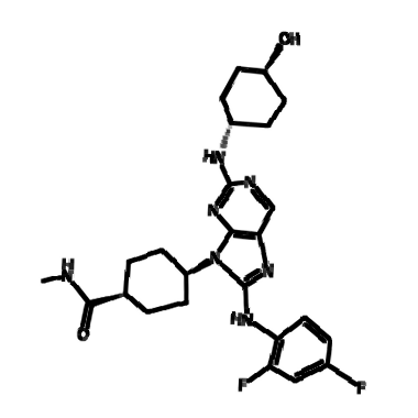 CNC(=O)[C@H]1CC[C@@H](n2c(Nc3ccc(F)cc3F)nc3cnc(N[C@H]4CC[C@H](O)CC4)nc32)CC1